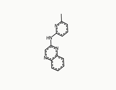 Cc1cccc(Nc2cnc3ccccc3n2)n1